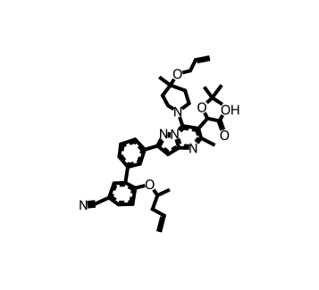 C=CCOC1(C)CCN(c2c(C(OC(C)(C)C)C(=O)O)c(C)nc3cc(-c4cccc(-c5cc(C#N)ccc5OC(C)CC=C)c4)nn23)CC1